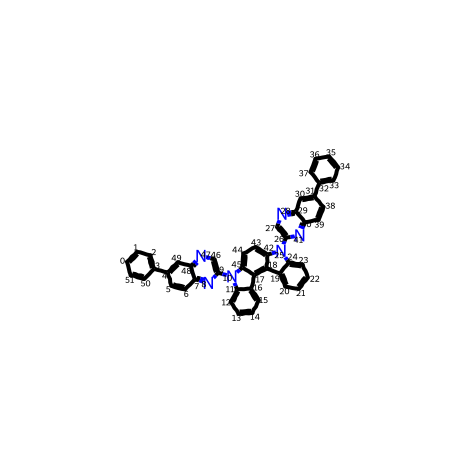 c1ccc(-c2ccc3nc(-n4c5ccccc5c5c6c7ccccc7n(-c7cnc8cc(-c9ccccc9)ccc8n7)c6ccc54)cnc3c2)cc1